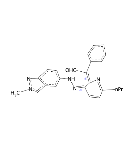 CCCC1=NC(=C(/C=O)c2ccccc2)/C(=N\Nc2ccc3nn(C)cc3c2)C=C1